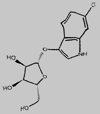 OC[C@H]1O[C@@H](Oc2c[nH]c3cc(Cl)ccc23)[C@H](O)[C@@H]1O